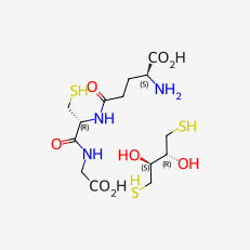 N[C@@H](CCC(=O)N[C@@H](CS)C(=O)NCC(=O)O)C(=O)O.O[C@H](CS)[C@@H](O)CS